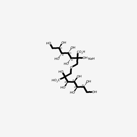 O=C(O)C(O)(COCC(O)(C(=O)O)[C@H](O)[C@@H](O)[C@H](O)[C@H](O)CO)[C@H](O)[C@@H](O)[C@H](O)[C@H](O)CO.[NaH]